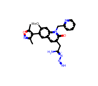 COc1cc2c(cc1-c1c(C)noc1C)cc(C/C(N)=N/N=N)c(=O)n2Cc1ccccn1